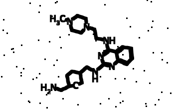 CN1CCN(CCNc2nc(NCC3CCC(CN)CC3)nc3ccccc23)CC1